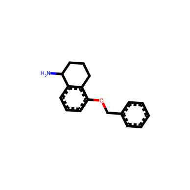 NC1CCCc2c(OCc3ccccc3)cccc21